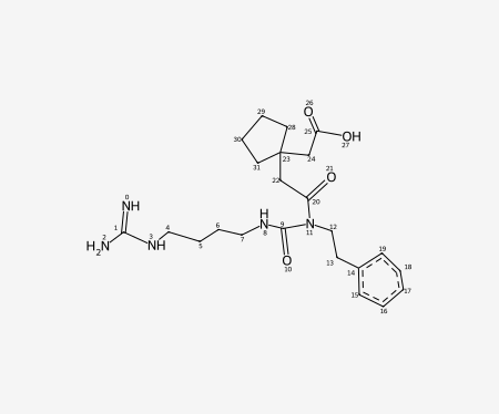 N=C(N)NCCCCNC(=O)N(CCc1ccccc1)C(=O)CC1(CC(=O)O)CCCC1